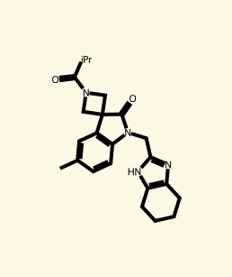 Cc1ccc2c(c1)C1(CN(C(=O)C(C)C)C1)C(=O)N2Cc1nc2c([nH]1)CCCC2